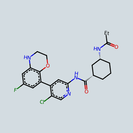 CCC(=O)N[C@@H]1CCC[C@H](C(=O)Nc2cc(-c3cc(F)cc4c3OCCN4)c(Cl)cn2)C1